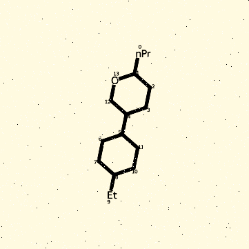 CCCC1CCC(C2CCC(CC)CC2)CO1